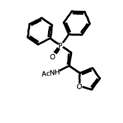 CC(=O)NC(=CP(=O)(c1ccccc1)c1ccccc1)c1ccco1